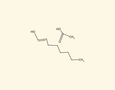 CC(=O)O.CCCCCCC=CO